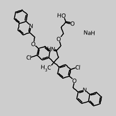 CC(CC(=N)COCCC(=O)O)(c1ccc(OCc2ccc3ccccc3n2)c(Cl)c1)c1ccc(OCc2ccc3ccccc3n2)c(Cl)c1.[NaH]